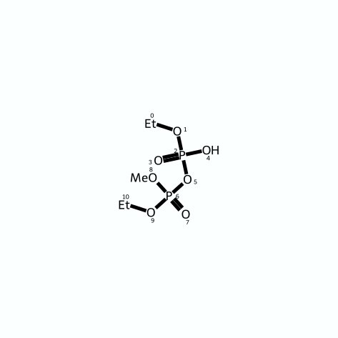 CCOP(=O)(O)OP(=O)(OC)OCC